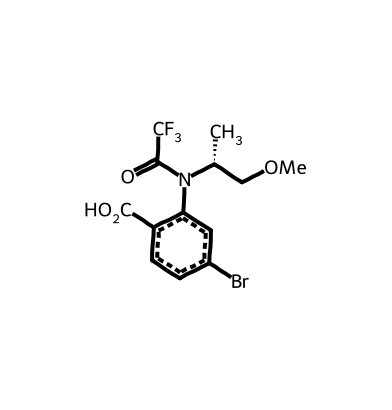 COC[C@@H](C)N(C(=O)C(F)(F)F)c1cc(Br)ccc1C(=O)O